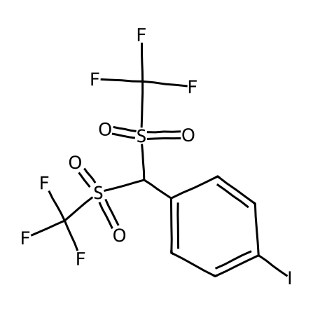 O=S(=O)(C(c1ccc(I)cc1)S(=O)(=O)C(F)(F)F)C(F)(F)F